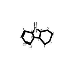 C1=CC2N[C]3CCCCC3C2C=C1